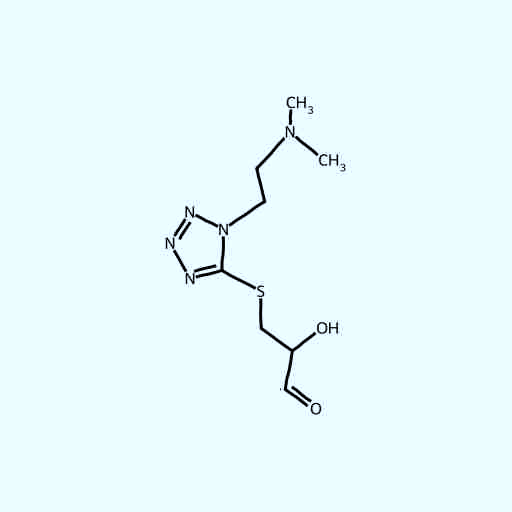 CN(C)CCn1nnnc1SCC(O)[C]=O